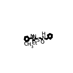 CCn1c(SCC(=O)NCc2ccccc2)nnc1-c1cccc(C)c1